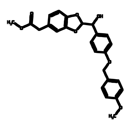 COC(=O)Cc1ccc2c(c1)OC(C(O)c1ccc(OCc3ccc(OC)cc3)cc1)O2